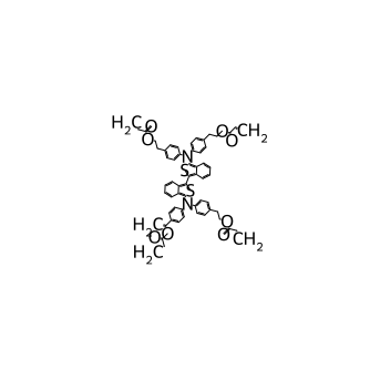 C=CC(=O)OCCc1ccc(N(c2ccc(CCOC(=O)C=C)cc2)c2sc(-c3sc(N(c4ccc(CCOC(=O)C=C)cc4)c4ccc(C(=C)OC(=O)C=C)cc4)c4ccccc34)c3ccccc23)cc1